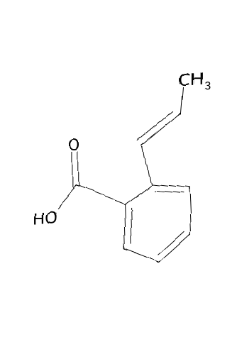 CC=Cc1ccccc1C(=O)O